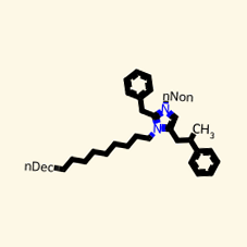 CCCCCCCCCCCCCCCCCCC[n+]1c(CC(C)c2ccccc2)cn(CCCCCCCCC)c1Cc1ccccc1